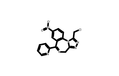 O=[N+]([O-])c1ccc2c(c1)C(c1ccccn1)=NCc1nnc(CCl)n1-2